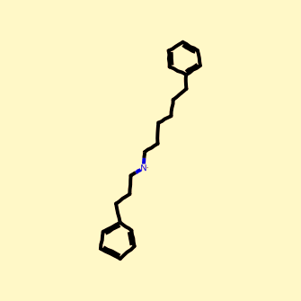 c1ccc(CCCCCC[N]CCCc2ccccc2)cc1